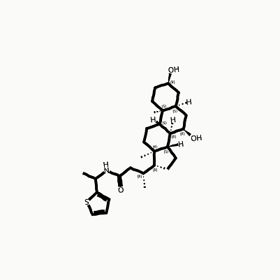 CC(NC(=O)C[C@@H](C)[C@H]1CC[C@H]2[C@@H]3[C@H](O)C[C@@H]4C[C@H](O)CC[C@]4(C)[C@H]3CC[C@]12C)c1cccs1